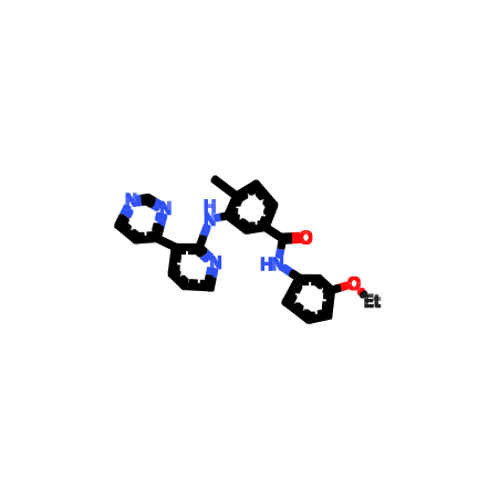 CCOc1cccc(NC(=O)c2ccc(C)c(Nc3ncccc3-c3ccncn3)c2)c1